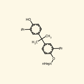 CCCCCCCOc1ccc(C(C)(C)c2ccc(O)c(C(C)C)c2)cc1C(C)C